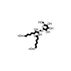 CCCCCCCCCCCCCCCC(=O)N[C@@H](CO[C@@H]1O[C@H](CO)[C@@H](O)C(O)C1O)[C@H](O)CCCCCCCCCCCCCCC